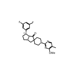 COc1nc(N2CCC3(CC2)CN2CC[C@@H](c4cc(F)cc(F)c4)N2C3=O)ncc1C